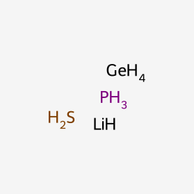 P.S.[GeH4].[LiH]